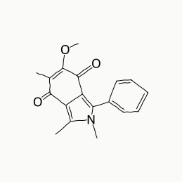 COC1=C(C)C(=O)c2c(c(-c3ccccc3)n(C)c2C)C1=O